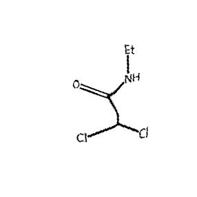 CCNC(=O)C(Cl)Cl